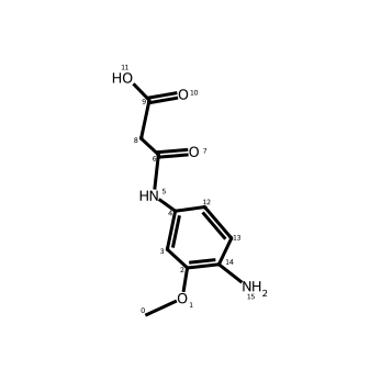 COc1cc(NC(=O)CC(=O)O)ccc1N